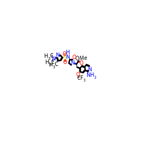 COC(=O)[C@@H](Cc1cc2ccnc(N)c2cc1OC(F)(F)F)N1CC[C@H](NS(=O)(=O)c2cnc(N(C)C)c(C)c2)C1=O